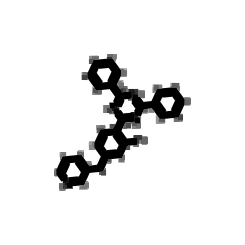 Fc1cc(Cc2cccnc2)ccc1-c1nc(-c2ccccc2)nc(-c2ccccc2)n1